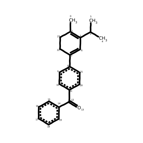 CC1=C(C(C)C)C=C(c2ccc(C(=O)c3ccccc3)cc2)CC1